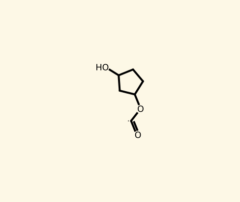 O=[C]OC1CCC(O)C1